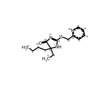 CCCCC1(CC)NC(SCc2ccccn2)=NC1=O